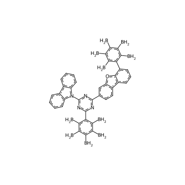 Bc1c(B)c(B)c(-c2nc(-c3ccc4c(c3)oc3c(-c5c(B)c(B)c(B)c(B)c5B)cccc34)nc(-n3c4ccccc4c4ccccc43)n2)c(B)c1B